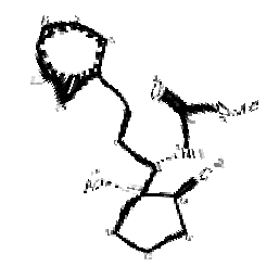 COC(=O)N[C@@H](/C=C/c1ccccc1)[C@]1(C(C)=O)CCCC1=O